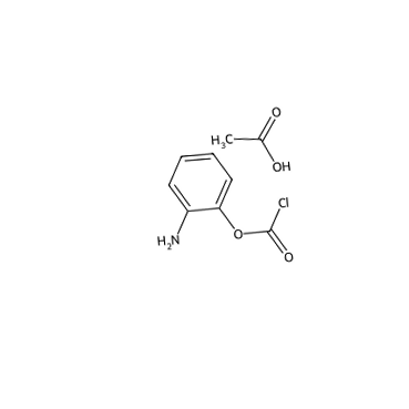 CC(=O)O.Nc1ccccc1OC(=O)Cl